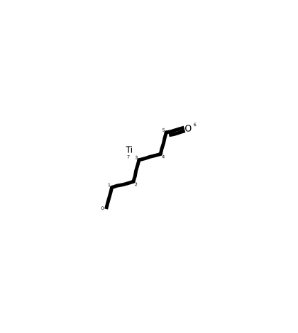 CCCCCC=O.[Ti]